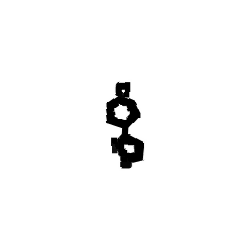 Clc1ccc(-c2ccsn2)cc1